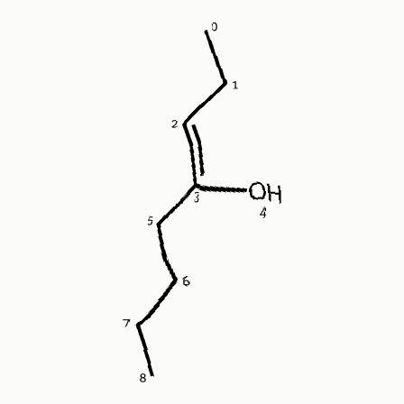 CCC=C(O)CCCC